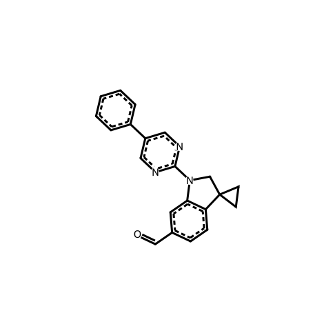 O=Cc1ccc2c(c1)N(c1ncc(-c3ccccc3)cn1)CC21CC1